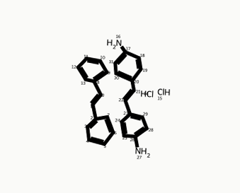 C(=Cc1ccccc1)c1ccccc1.Cl.Cl.Nc1ccc(C=Cc2ccc(N)cc2)cc1